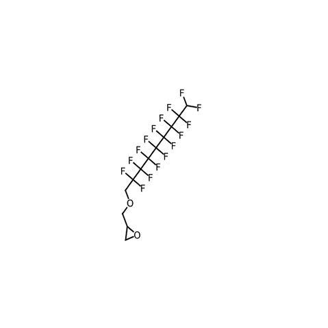 FC(F)C(F)(F)C(F)(F)C(F)(F)C(F)(F)C(F)(F)C(F)(F)C(F)(F)COCC1CO1